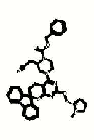 CN1CCC[C@H]1COc1nc2c(c(N3CCN(C(=O)OCc4ccccc4)C(CC#N)C3)n1)CCC1(O2)c2ccccc2-c2ccccc21